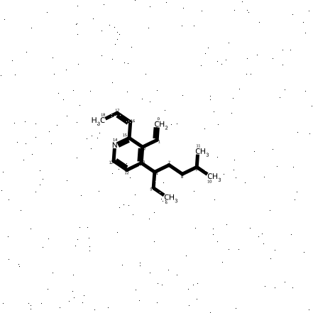 C=Cc1c(C(CC)CCC(C)C)ccnc1/C=C\C